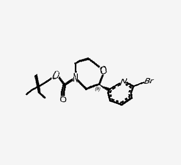 CC(C)(C)OC(=O)N1CCO[C@@H](c2cccc(Br)n2)C1